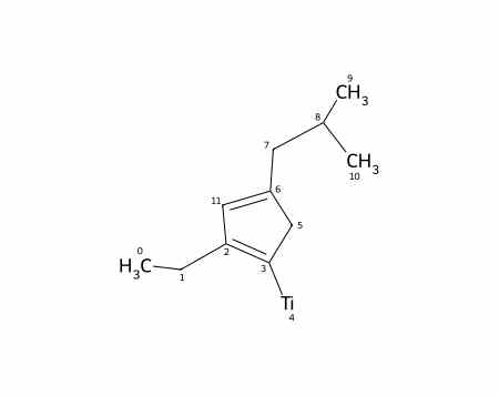 CCC1=[C]([Ti])CC(CC(C)C)=C1